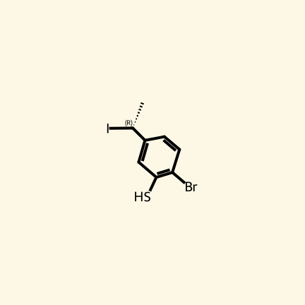 C[C@@H](I)c1ccc(Br)c(S)c1